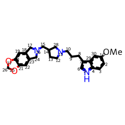 COc1ccc2[nH]cc(CCCN3CCC(CN4Cc5cc6c(cc5C4)OCO6)C3)c2c1